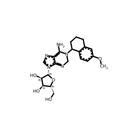 COc1ccc2c(c1)CCCC2N1CN=c2c(ncn2[C@@H]2O[C@H](CO)[C@@H](O)[C@H]2O)=C1N